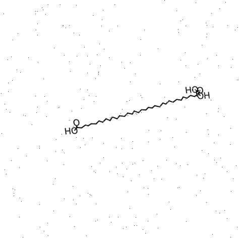 O=C(O)CCCCCCCCCCCCCCCCCCCCCCCCCCCCCCCCCP(=O)(O)O